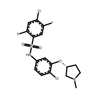 CN1CC[C@@H](Oc2cc(NS(=O)(=O)c3cc(F)c(Cl)cc3F)ccc2Cl)C1